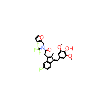 COc1cc(C=C2C(C)=C(CC(=O)N(Cc3ccco3)C(F)(F)F)c3cc(F)ccc32)cc(OC)c1O